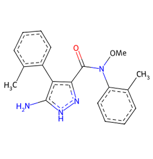 CON(C(=O)c1n[nH]c(N)c1-c1ccccc1C)c1ccccc1C